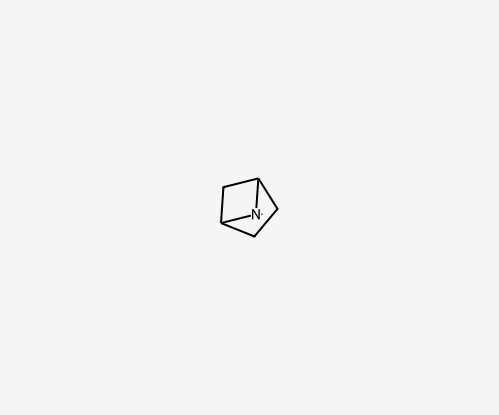 C1CC2CC1[N]2